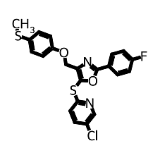 CSc1ccc(OCc2nc(-c3ccc(F)cc3)oc2Sc2ccc(Cl)cn2)cc1